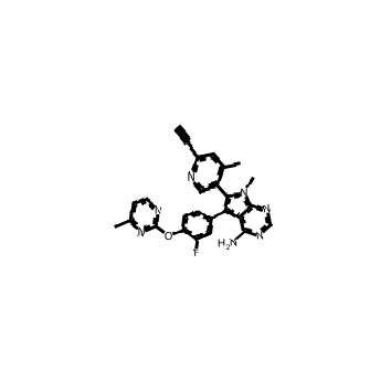 C#Cc1cc(C)c(-c2c(-c3ccc(Oc4nccc(C)n4)c(F)c3)c3c(N)ncnc3n2C)cn1